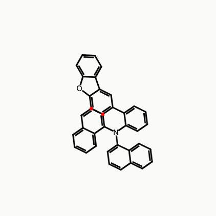 c1ccc(N(c2cccc3ccccc23)c2cccc3ccccc23)c(-c2ccc3oc4ccccc4c3c2)c1